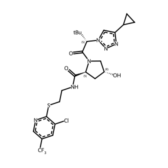 CC(C)(C)[C@@H](C(=O)N1C[C@H](O)C[C@H]1C(=O)NCCSc1ncc(C(F)(F)F)cc1Cl)n1cc(C2CC2)nn1